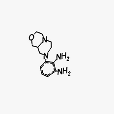 Nc1cccc(N2CCN3CCOCC3C2)c1N